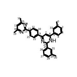 Cc1cccc(C2=CC(c3ccc(-c4nc(C)cc(C)n4)cc3)=NC(c3cccc(C)c3)N2)c1